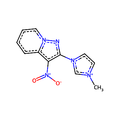 C[n+]1ccn(-c2nn3ccccc3c2[N+](=O)[O-])c1